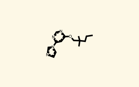 CCCC(C)(C)COc1cc(-n2ccnc2)ncn1